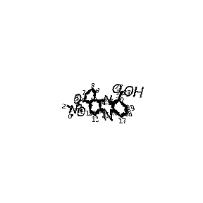 CN(C)S(=O)(=O)c1cccc2c1ccc1nc3cccc(C(=O)O)c3nc12